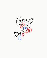 CC(C)(C)OC(=O)N(C(=O)CCc1ccccc1)C(Cc1c[nH]c2ccccc12)C(=O)O